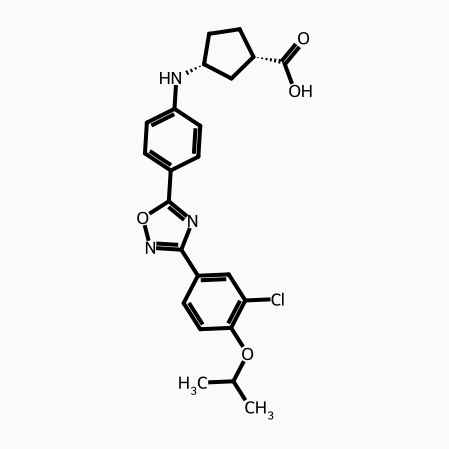 CC(C)Oc1ccc(-c2noc(-c3ccc(N[C@@H]4CC[C@H](C(=O)O)C4)cc3)n2)cc1Cl